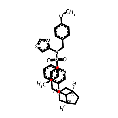 COc1ccc(CN(c2cscn2)S(=O)(=O)c2cc(C)c(NC3[C@@H]4CC[C@H]3CN(Cc3ccccc3)C4)cn2)cc1